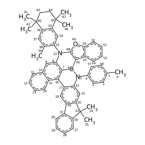 Cc1ccc(N2B3c4c(cc5ccccc5c4-c4cc5c(cc42)C(C)(C)c2ccccc2-5)N(c2cc4c(cc2C)C(C)(C)CCC4(C)C)c2oc4ccccc4c23)cc1